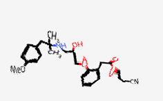 COc1ccc(CC(C)(C)NCC(O)COc2ccccc2CC(=O)OCCC#N)cc1